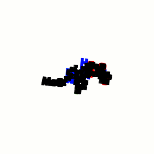 COCCNc1nccc(-c2[nH]c(C3(C)OCC(C(=O)N4CCOCC4)CO3)nc2-c2ccc(F)cc2)n1